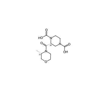 C[C@H]1COCCN1C(=O)[C@H]1CN(C(=O)O)CCN1C(=O)O